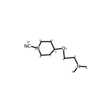 CN(C)CCOC1CCB(C#N)CC1